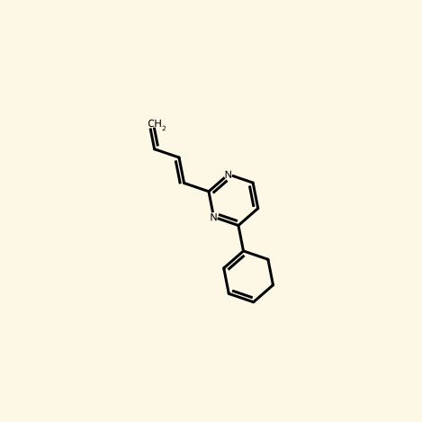 C=C/C=C/c1nccc(C2=CC=CCC2)n1